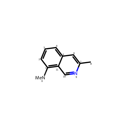 CNc1cccc2cc(C)ncc12